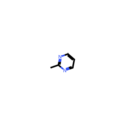 Cc1n[c]ccn1